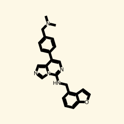 CN(C)Cc1ccc(-c2cnc(NCc3cccc4occc34)n3cncc23)cc1